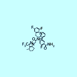 CC1CCCc2c1c(C(F)(F)F)nn2CC(=O)NC(Cc1cc(F)cc(F)c1)c1ncccc1-c1ccc(F)c(C(N)=O)c1